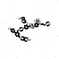 C[C@@]1(CN2CCC3(CCNCC3)CC2)CCC(c2ccc(Cl)cc2)=C(CN2CCN(c3ccc(C(=O)NS(=O)(=O)c4ccc(NCCCN5CCOCC5)c(S(=O)(=O)C(F)(F)F)c4)c(Oc4cnc5[nH]ccc5c4)c3)CC2)C1